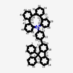 c1ccc(C2(c3ccccc3)c3ccccc3-c3ccc(-c4ccc(-n5c6ccccc6c6ccccc6c6ccccc6c6ccccc65)cc4)cc32)cc1